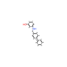 Oc1cccc(NCc2ccc(-c3ccccc3)cc2)c1